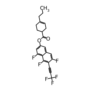 CCCC1=CCC(C(=O)Oc2cc(F)c3c(F)c(C#CC(F)(F)F)c(F)cc3c2)CC1